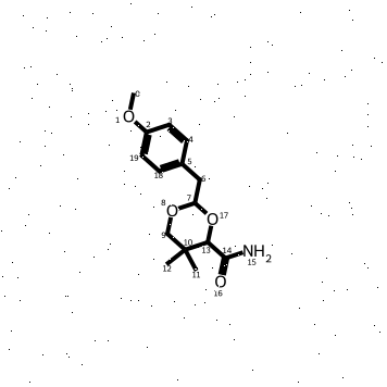 COc1ccc(CC2OCC(C)(C)C(C(N)=O)O2)cc1